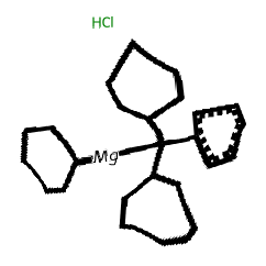 Cl.c1ccc([C]([Mg][CH]2CCCCC2)(C2CCCCC2)C2CCCCC2)cc1